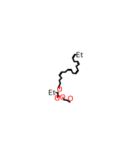 CC/C=C\C/C=C\C/C=C\C/C=C\C/C=C\CCCCOC(CC)C(=O)OCC1CO1